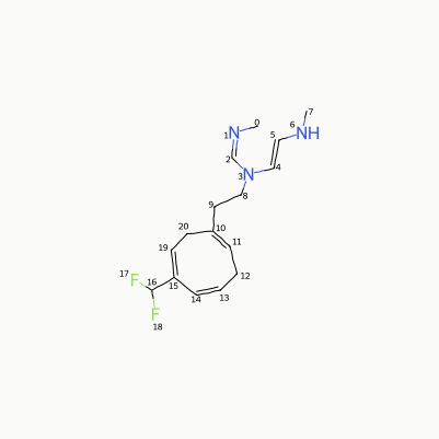 C/N=C\N(/C=C/NC)CC/C1=C/C/C=C\C(C(F)F)=CC1